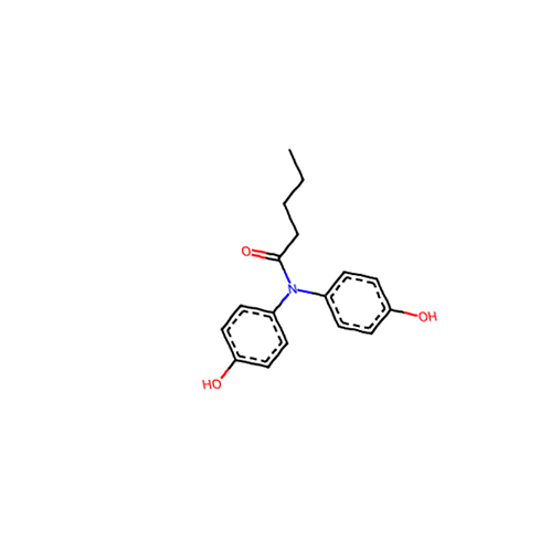 CCCCC(=O)N(c1ccc(O)cc1)c1ccc(O)cc1